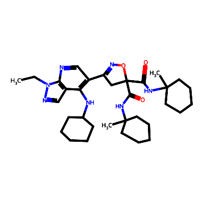 CCn1ncc2c(NC3CCCCC3)c(C3=NOC(C(=O)NC4(C)CCCCC4)(C(=O)NC4(C)CCCCC4)C3)cnc21